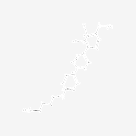 CCCCOc1ccc(-c2ccc(-c3ccc(OCCCCOC)cc3)cc2)c(F)c1F